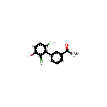 CNC(=O)c1cccc(-c2c(Cl)ccc(Br)c2Cl)c1